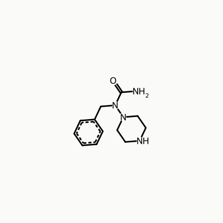 NC(=O)N(Cc1ccccc1)N1CCNCC1